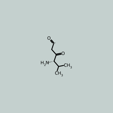 CC(C)[C@H](N)C(=O)C[C]=O